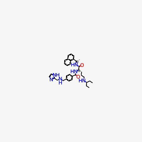 CCC(CC)NCCC[C@H](NC(=O)c1ccc(CNCc2ncc[nH]2)cc1)C(=O)N[C@@H](C)c1cccc2ccccc12